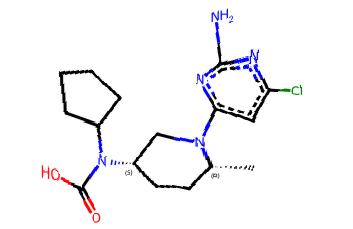 C[C@@H]1CC[C@H](N(C(=O)O)C2CCCC2)CN1c1cc(Cl)nc(N)n1